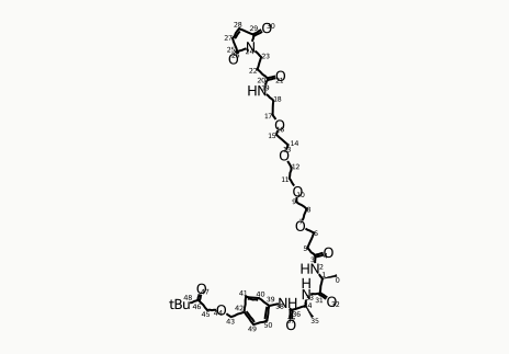 C[C@H](NC(=O)CCOCCOCCOCCOCCNC(=O)CCN1C(=O)C=CC1=O)C(=O)N[C@@H](C)C(=O)Nc1ccc(COCC(=O)C(C)(C)C)cc1